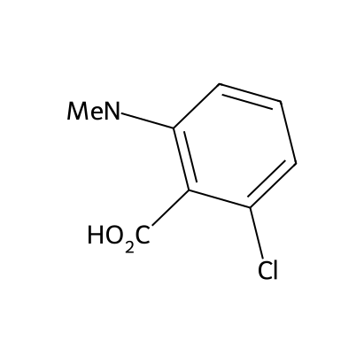 CNc1cccc(Cl)c1C(=O)O